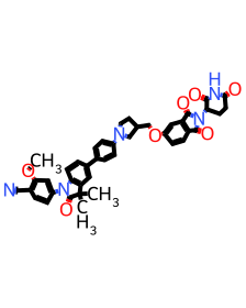 COc1cc(N2C(=O)C(C)(C)c3cc(-c4ccc(N5CCC(COc6ccc7c(c6)C(=O)N(C6CCC(=O)NC6=O)C7=O)C5)cc4)ccc32)ccc1C#N